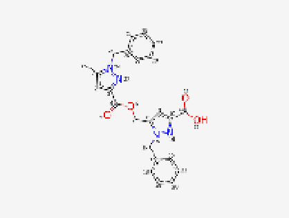 Cc1cc(C(=O)OCc2cc(C(=O)O)nn2Cc2ccccc2)nn1Cc1ccccc1